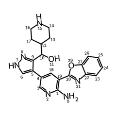 Nc1ncc(-c2c[nH]nc2C(O)C2CCNCC2)cc1-c1nc2ccccc2o1